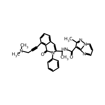 Cc1nn2cccnc2c1C(=O)NC(C)c1cc2cccc(C#CCN(C)C)c2c(=O)n1-c1ccccc1